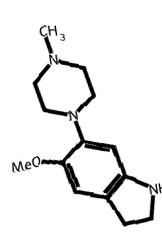 COc1cc2c(cc1N1CCN(C)CC1)NCC2